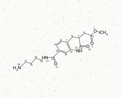 COC(=O)CC1Cc2ccc(C(=O)NCCCCN)cc2NC1=O